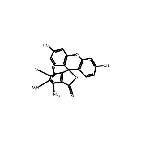 O=C1OC2(c3ccc(O)cc3Oc3cc(O)ccc32)c2c(Br)c(Br)c([N+](=O)[O-])c([N+](=O)[O-])c21